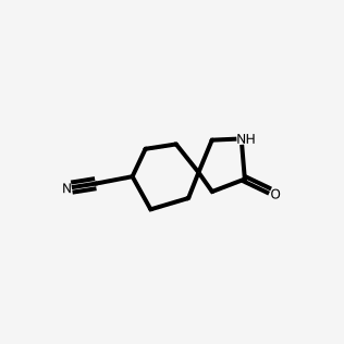 N#CC1CCC2(CC1)CNC(=O)C2